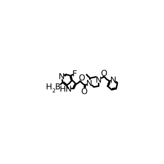 Bc1ncc(F)c2c(C(=O)C(=O)N3CCN(C(=O)c4ccccn4)CC3C)c[nH]c12